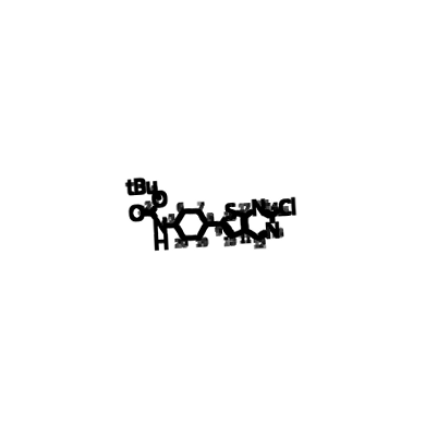 CC(C)(C)OC(=O)NC1CCC(c2cc3cnc(Cl)nc3s2)CC1